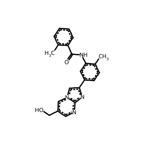 Cc1ccc(-c2cn3cc(CO)cnc3n2)cc1NC(=O)c1ccccc1C